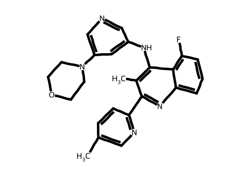 Cc1ccc(-c2nc3cccc(F)c3c(Nc3cncc(N4CCOCC4)c3)c2C)nc1